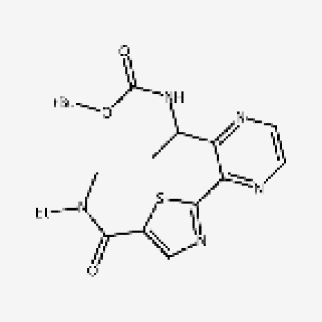 CCN(C)C(=O)c1cnc(-c2nccnc2C(C)NC(=O)OC(C)(C)C)s1